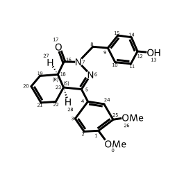 COc1ccc(C2=NN(Cc3ccc(O)cc3)C(=O)[C@@H]3CC=CC[C@H]23)cc1OC